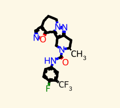 C[C@@H]1Cc2nn3c(c2CN1C(=O)Nc1ccc(F)c(C(F)(F)F)c1)-c1oncc1CCC3